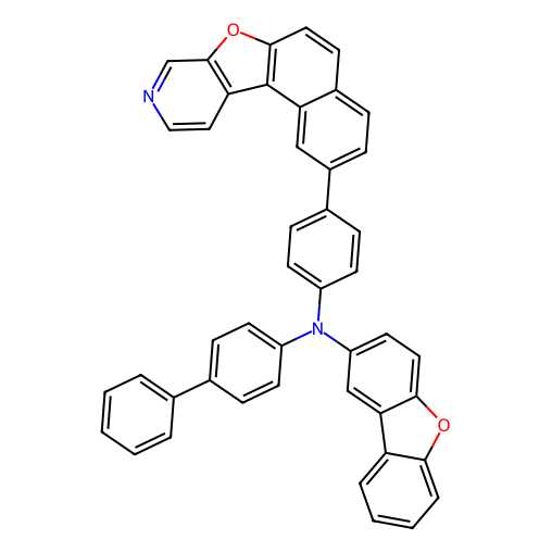 c1ccc(-c2ccc(N(c3ccc(-c4ccc5ccc6oc7cnccc7c6c5c4)cc3)c3ccc4oc5ccccc5c4c3)cc2)cc1